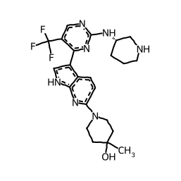 CC1(O)CCN(c2ccc3c(-c4nc(N[C@H]5CCCNC5)ncc4C(F)(F)F)c[nH]c3n2)CC1